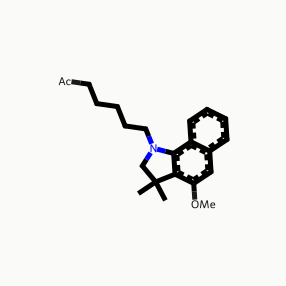 COc1cc2ccccc2c2c1C(C)(C)CN2CCCCCC(C)=O